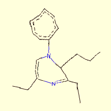 CCCC1C(CC)=NC(CC)=CN1c1ccccc1